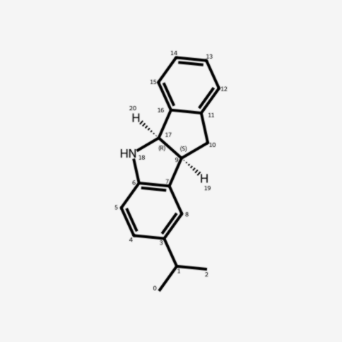 CC(C)c1ccc2c(c1)[C@@H]1Cc3ccccc3[C@@H]1N2